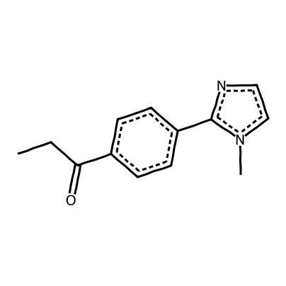 CCC(=O)c1ccc(-c2nccn2C)cc1